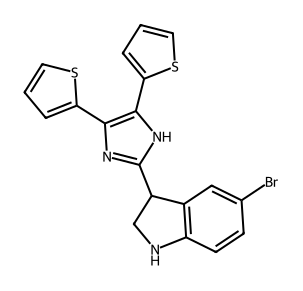 Brc1ccc2c(c1)C(c1nc(-c3cccs3)c(-c3cccs3)[nH]1)CN2